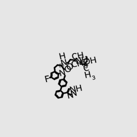 C[C@@H](O)CNC(C)(C)CC(=O)N[C@@H]1CCc2cc(F)ccc2N(Cc2ccc(-c3ccccc3-c3c[nH]nn3)cc2)C1=O